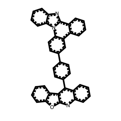 c1ccc2c(-c3ccc(-c4ccc5c(c4)c4ccccc4c4nc6ccccc6n54)cc3)c3c(nc2c1)oc1ccccc13